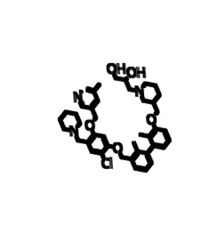 C=C(C)/C=C(\C=N/C)COc1cc(OCc2cccc(-c3cccc(OCC4CCCN(CC(O)CO)C4)c3C)c2C)c(Cl)cc1CN1CCCCC1